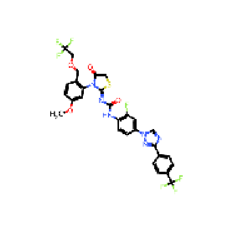 COc1ccc(COCC(F)(F)F)c(N2C(=O)CSC2=NC(=O)Nc2ccc(-n3cnc(-c4ccc(C(F)(F)F)cc4)n3)cc2F)c1